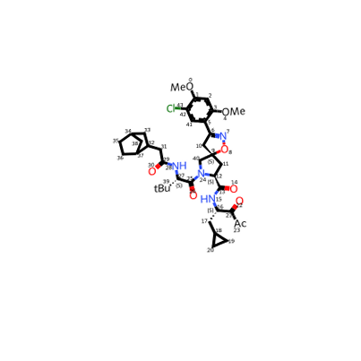 COc1cc(OC)c(C2=NO[C@]3(C2)C[C@@H](C(=O)N[C@@H](CC2CC2)C(=O)C(C)=O)N(C(=O)[C@@H](NC(=O)CC2CC4CCC2C4)C(C)(C)C)C3)cc1Cl